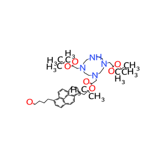 CC(C)(C)OC(=O)CN1CCNCCN(CC(=O)OC(C)(C)C)CCN(CC(=O)OC(C)(C)Cc2ccc3ccc4c(CCCC=O)ccc5ccc2c3c54)CC1